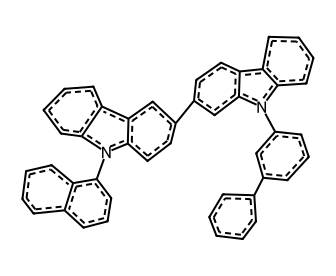 c1ccc(-c2cccc(-n3c4ccccc4c4ccc(-c5ccc6c(c5)c5ccccc5n6-c5cccc6ccccc56)cc43)c2)cc1